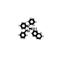 C1=Cc2ccc(N/C(=N/Cc3ccccc3)P(c3ccccc3)c3ccccc3)cc2CC1